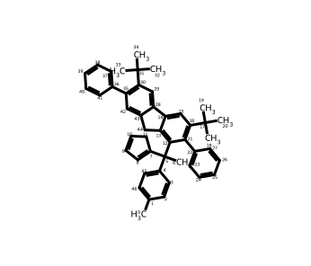 Cc1ccc(C(C)(C2=CC=CC2)c2c3c(cc(C(C)(C)C)c2-c2ccccc2)-c2cc(C(C)(C)C)c(-c4ccccc4)cc2C3)cc1